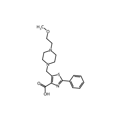 COCCN1CCN(Cc2sc(-c3ccccc3)nc2C(=O)O)CC1